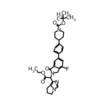 CCOC(=O)C(c1ncn2c1CCC2)N1Cc2c(F)cc(-c3ccc(C4CCN(C(=O)OC(C)(C)C)CC4)cc3)cc2C1=O